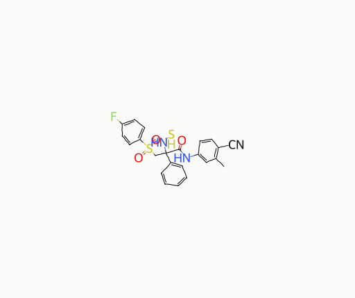 Cc1cc(NC(=O)C(CS(=O)(=O)c2ccc(F)cc2)(NS)c2ccccc2)ccc1C#N